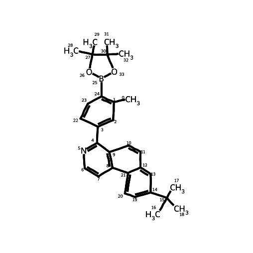 Cc1cc(-c2nccc3c2ccc2cc(C(C)(C)C)ccc23)ccc1B1OC(C)(C)C(C)(C)O1